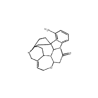 Nc1cccc2c1C13CCN4CC5=CCOC6CC(=O)N2C1C6C5CC43